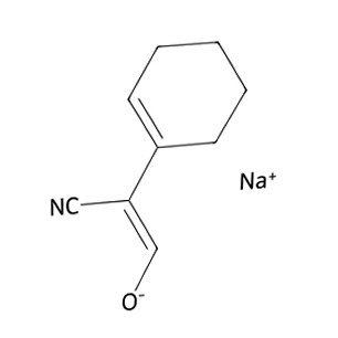 N#C/C(=C\[O-])C1=CCCCC1.[Na+]